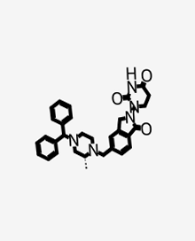 C[C@@H]1CN(C(c2ccccc2)c2ccccc2)CCN1Cc1ccc2c(c1)CN(N1CCC(=O)NC1=O)C2=O